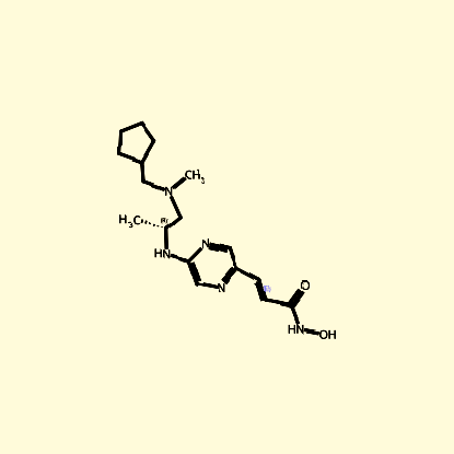 C[C@H](CN(C)CC1CCCC1)Nc1cnc(/C=C/C(=O)NO)cn1